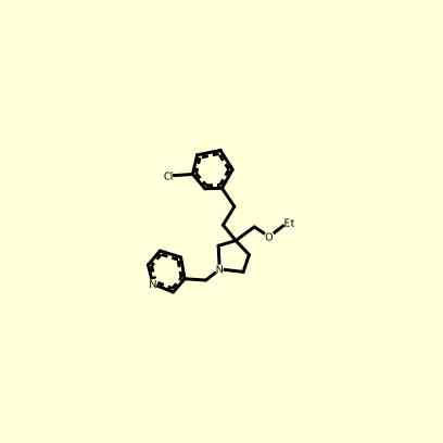 CCOCC1(CCc2cccc(Cl)c2)CCN(Cc2cccnc2)C1